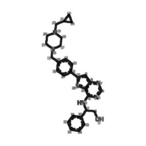 OCC(Nc1ncnc2cc(-c3ccc(CN4CCN(CC5CC5)CC4)cc3)sc12)c1ccccc1